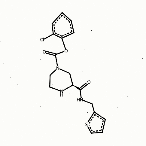 O=C(NCc1cccs1)[C@@H]1CN(C(=O)Oc2ccccc2Cl)CCN1